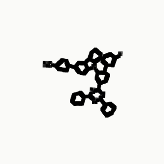 N#Cc1ccc(-c2ccc3c(c2)c2ccccc2n3-c2cc(-c3nc(-c4ccccc4)nc(-c4ccccc4)n3)ccc2-c2cccc(F)c2)cc1